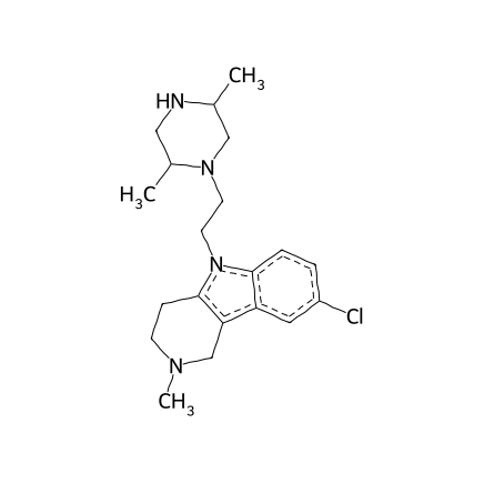 CC1CN(CCn2c3c(c4cc(Cl)ccc42)CN(C)CC3)C(C)CN1